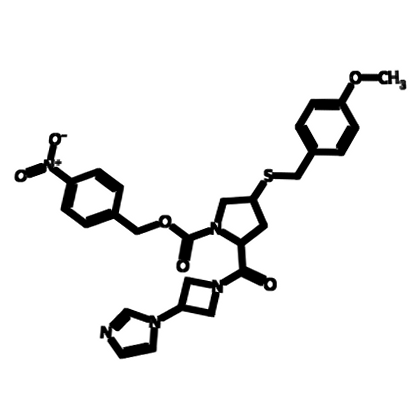 COc1ccc(CSC2CC(C(=O)N3CC(n4ccnc4)C3)N(C(=O)OCc3ccc([N+](=O)[O-])cc3)C2)cc1